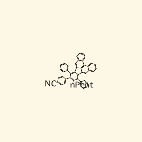 CCCCCc1c(-c2ccc(C#N)cc2)c(-c2ccccc2)c2c(c1-c1ccccc1)-c1cc3ccccc3c3c1c-2cc1ccccc13